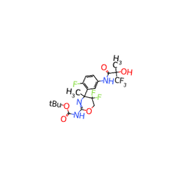 CC(C)(C)OC(=O)NC1=NC(C)(c2cc(NC(=O)C(C)(O)C(F)(F)F)ccc2F)C(F)(F)CO1